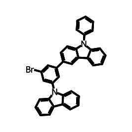 Brc1cc(-c2ccc3c(c2)c2ccccc2n3-c2ccccc2)cc(-n2c3ccccc3c3ccccc32)c1